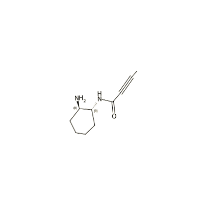 CC#CC(=O)N[C@@H]1CCCC[C@H]1N